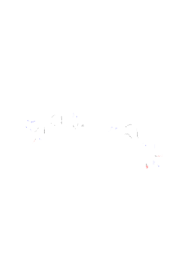 COc1cc(-c2cn(C)c(=O)c3[nH]ncc23)cc(F)c1CN1CCC(C2CCN(c3ccc(NC4CCC(=O)NC4=O)cc3F)CC2)CC1